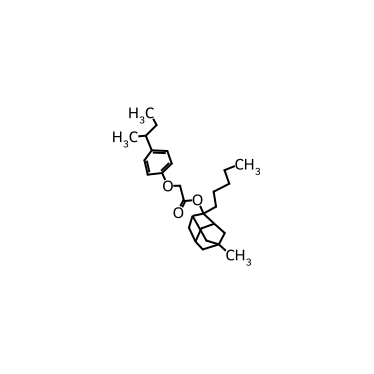 CCCCCC1(OC(=O)COc2ccc(C(C)CC)cc2)C2CC3CC1CC(C)(C3)C2